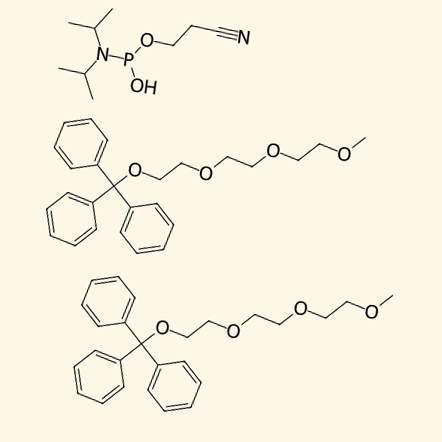 CC(C)N(C(C)C)P(O)OCCC#N.COCCOCCOCCOC(c1ccccc1)(c1ccccc1)c1ccccc1.COCCOCCOCCOC(c1ccccc1)(c1ccccc1)c1ccccc1